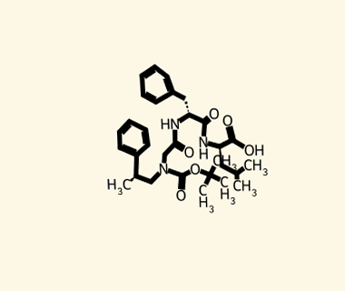 CC(C)C[C@@H](NC(=O)[C@@H](Cc1ccccc1)NC(=O)CN(C[C@H](C)c1ccccc1)C(=O)OC(C)(C)C)C(=O)O